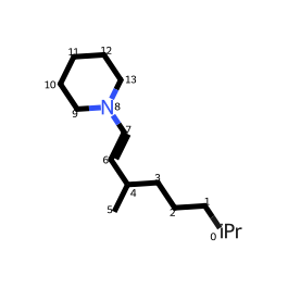 CC(C)CCCC(C)C=CN1CCCCC1